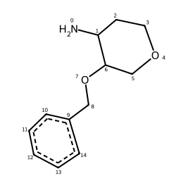 NC1CCOCC1OCc1ccccc1